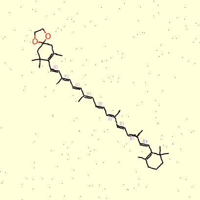 CC1=C(/C=C/C(C)=C/C=C/C(C)=C/C=C/C=C(C)/C=C/C=C(C)/C=C/C2=C(C)CC3(CC2(C)C)OCCO3)C(C)(C)CCC1